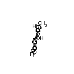 C=C1C=Cc2cc(OC[C@@H](O)CN3CCN(c4ccc(OC(F)(F)F)cc4)CC3)ccc2N1